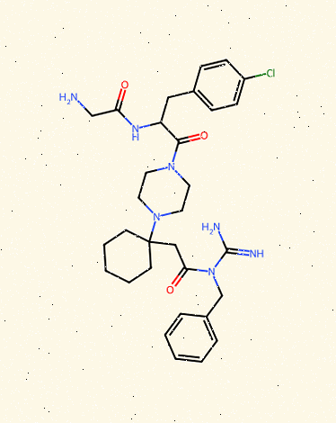 N=C(N)N(Cc1ccccc1)C(=O)CC1(N2CCN(C(=O)C(Cc3ccc(Cl)cc3)NC(=O)CN)CC2)CCCCC1